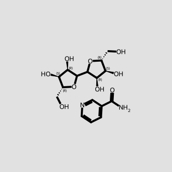 NC(=O)c1cccnc1.OC[C@H]1OC(C2O[C@H](CO)[C@@H](O)[C@H]2O)[C@H](O)[C@@H]1O